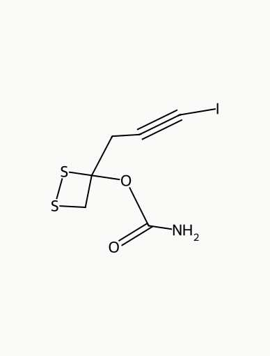 NC(=O)OC1(CC#CI)CSS1